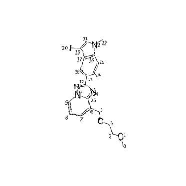 COCCOCc1cccn2nc(-c3ccc4c(c3)c(I)cn4C)nc12